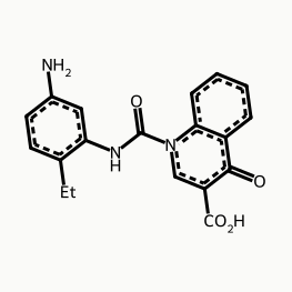 CCc1ccc(N)cc1NC(=O)n1cc(C(=O)O)c(=O)c2ccccc21